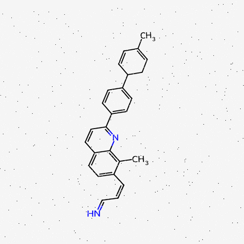 CC1=CCC(c2ccc(-c3ccc4ccc(/C=C\C=N)c(C)c4n3)cc2)C=C1